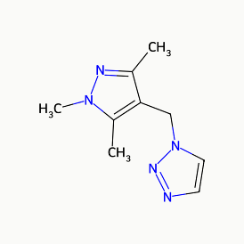 Cc1nn(C)c(C)c1Cn1ccnn1